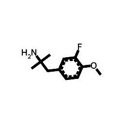 COc1ccc(CC(C)(C)N)cc1F